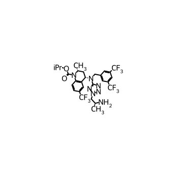 CC(C)OC(=O)N1c2ccc(C(F)(F)F)cc2[C@@H](N(Cc2cc(C(F)(F)F)cc(C(F)(F)F)c2)c2nnn(C[C@H](C)N)n2)C[C@H]1C